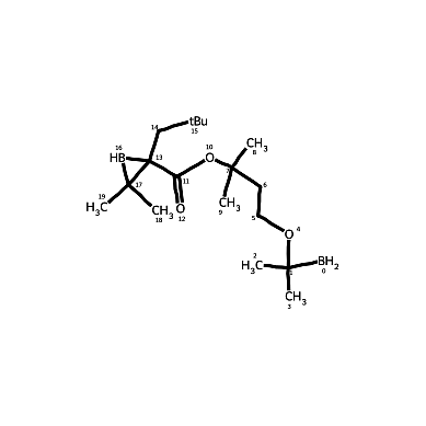 BC(C)(C)OCCC(C)(C)OC(=O)C1(CC(C)(C)C)BC1(C)C